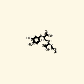 CSCC[C@H](NN[C@@H](Cc1ccc(O)c(O)c1)C(=O)O)C(=O)O